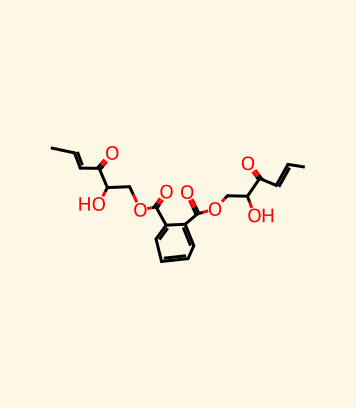 CC=CC(=O)C(O)COC(=O)c1ccccc1C(=O)OCC(O)C(=O)C=CC